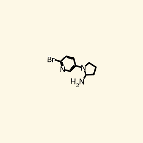 NC1CCCN1c1ccc(Br)nc1